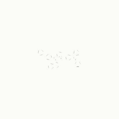 c1ccc(-n2c3ccccc3c3cc(-c4cccc(N5c6cc7sc8ccccc8c7cc6-c6cccc7cccc5c67)n4)ccc32)cc1